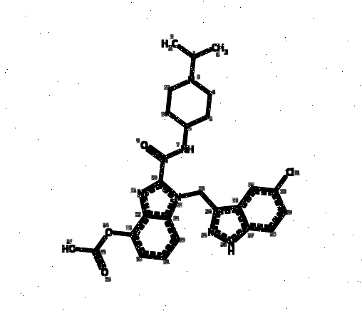 CC(C)N1CCC(NC(=O)c2nc3c(OC(=O)O)cccc3n2Cc2n[nH]c3ccc(Cl)cc23)CC1